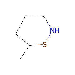 CC1CCCNS1